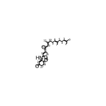 CC(C)=CCC/C(C)=C/CC/C(C)=C/C1OC1/C(C)=C/C(=O)NC1=CC(=O)CCC1=O